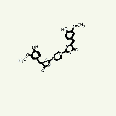 COc1cc(/C=C2\SC(N3CCN(C4=NC(=O)/C(=C/c5ccc(O)c(OC)c5)S4)CC3)=NC2=O)ccc1O